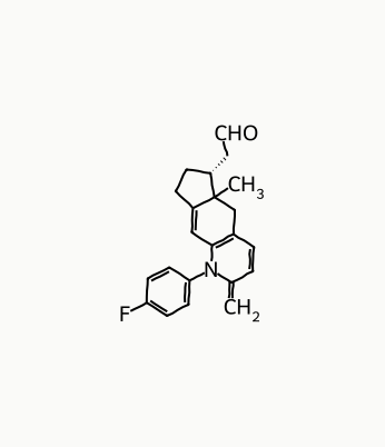 C=C1C=CC2=C(C=C3CC[C@H](CC=O)C3(C)C2)N1c1ccc(F)cc1